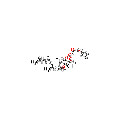 Cc1c(C)c2c(c(C)c1OC(=O)OCC1OC1COCc1ccccc1)CCC(C)(CCCC(C)CCCC(C)CCCC(C)C)O2